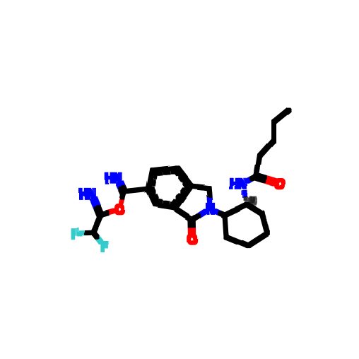 CCCCC(=O)N[C@@H]1CCCCC1N1Cc2ccc(C(=N)OC(=N)C(F)F)cc2C1=O